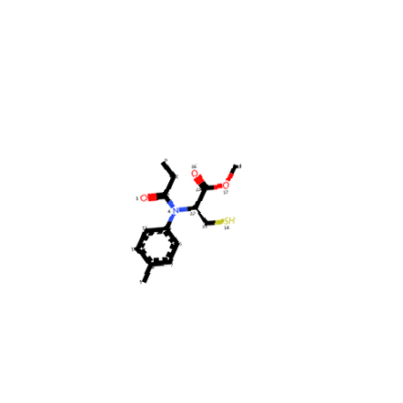 CCC(=O)N(c1ccc(C)cc1)[C@H](CS)C(=O)OC